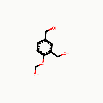 OCOc1ccc(CO)cc1CO